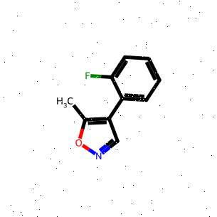 Cc1oncc1-c1ccccc1F